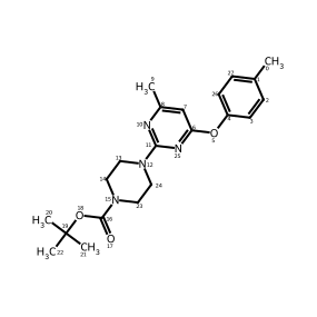 Cc1ccc(Oc2cc(C)nc(N3CCN(C(=O)OC(C)(C)C)CC3)n2)cc1